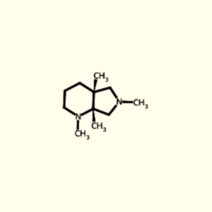 CN1C[C@@]2(C)CCCN(C)[C@@]2(C)C1